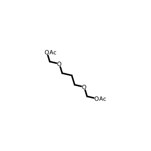 CC(=O)OCOCCCOCOC(C)=O